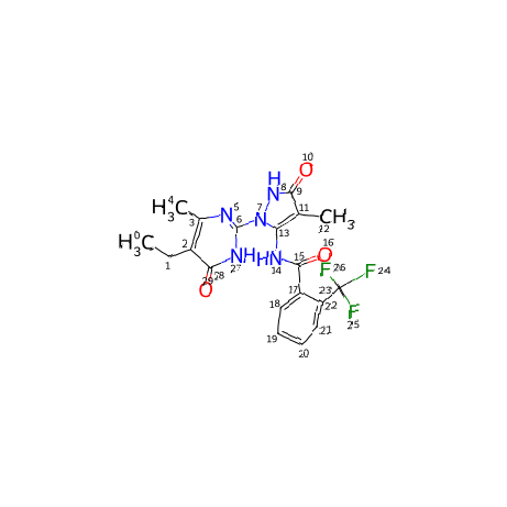 CCc1c(C)nc(-n2[nH]c(=O)c(C)c2NC(=O)c2ccccc2C(F)(F)F)[nH]c1=O